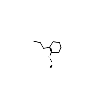 C=NNC1=C(CCN)CCCC1